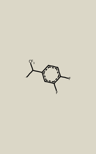 [CH2]C(c1ccc(F)c(F)c1)C(F)(F)F